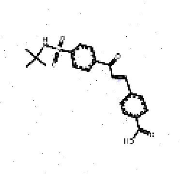 CC(C)(C)NS(=O)(=O)c1ccc(C(=O)/C=C/c2ccc(C(=O)O)cc2)cc1